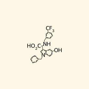 O=C(O)C(NCc1cccc(C(F)(F)F)c1)c1cn(Cc2ccccc2)c2ccc(O)cc12